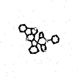 c1ccc(N2c3ccccc3C3(c4ccccc4-c4nc5c6c(cccc6c43)-c3ccccc3-5)c3ccccc32)cc1